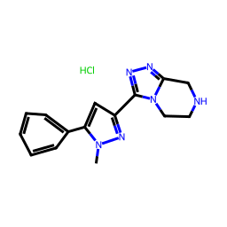 Cl.Cn1nc(-c2nnc3n2CCNC3)cc1-c1ccccc1